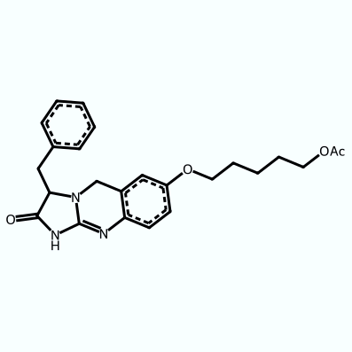 CC(=O)OCCCCCOc1ccc2c(c1)CN1C(=N2)NC(=O)C1Cc1ccccc1